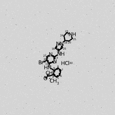 CP(C)(=O)c1ccccc1Nc1nc(Nc2cnn(C3CCNCC3)c2)ncc1Br.Cl